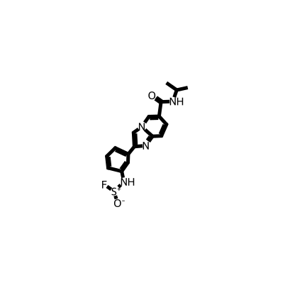 CC(C)NC(=O)c1ccc2nc(-c3cccc(N[S+]([O-])F)c3)cn2c1